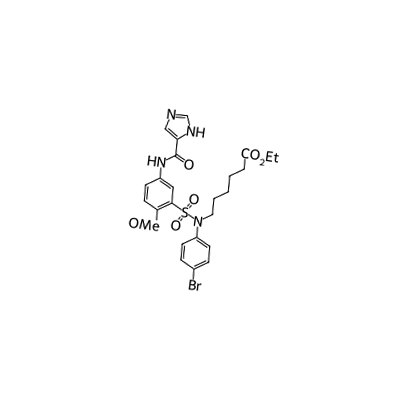 CCOC(=O)CCCCCN(c1ccc(Br)cc1)S(=O)(=O)c1cc(NC(=O)c2cnc[nH]2)ccc1OC